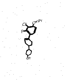 CCCOc1ccc(C2=CCC(C3CCC(CCC)CC3)CC2)c(F)c1Cl